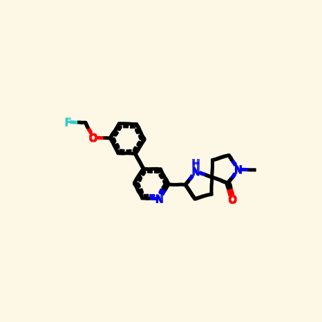 CN1CCC2(CCC(c3cc(-c4cccc(OCF)c4)ccn3)N2)C1=O